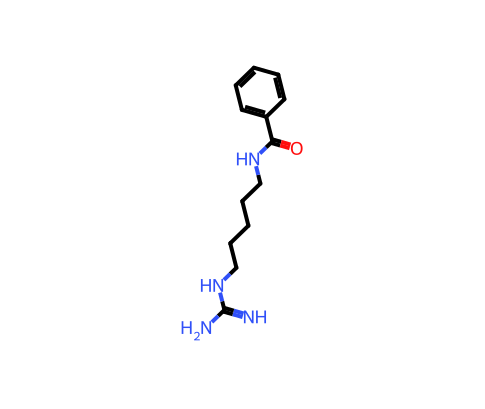 N=C(N)NCCCCCNC(=O)c1ccccc1